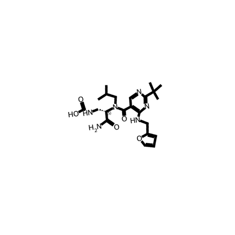 CC(C)CN(C(=O)c1cnc(C(C)(C)C)nc1NCc1ccco1)[C@@H](CNC(=O)O)C(N)=O